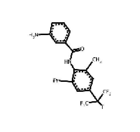 Cc1cc(C(F)(C(F)(F)F)C(F)(F)F)cc(C(C)C)c1NC(=O)c1cccc(N)c1